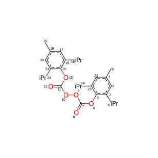 Cc1cc(C(C)C)c(OC(=O)OOC(=O)Oc2c(C(C)C)cc(C)cc2C(C)C)c(C(C)C)c1